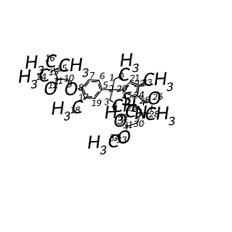 CCC(CC)(c1ccc(OCC(=O)C(C)(C)C)c(C)c1)c1cc(C)c(C(=O)[N+](C)(C)CC(=O)OC)s1